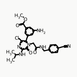 COC(=O)c1cc(N)cc(-c2c(Cl)nc(NC(C)C)c(=O)n2CC(=O)NCc2ccc(C#N)cc2)c1